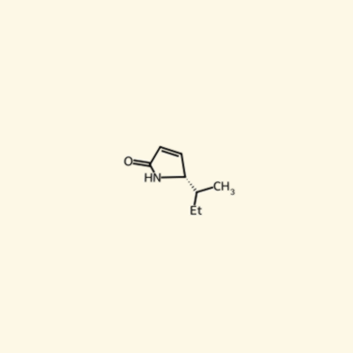 CCC(C)[C@H]1C=CC(=O)N1